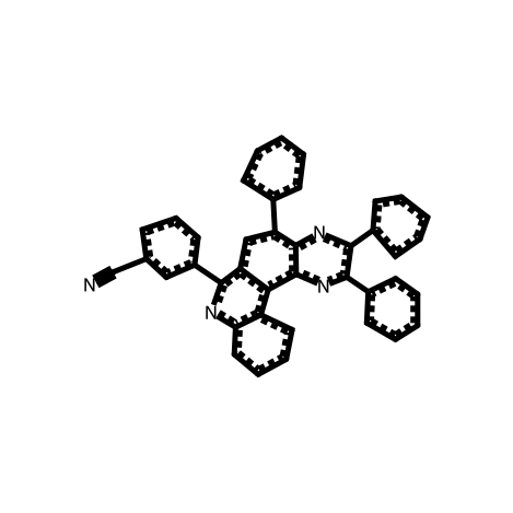 N#Cc1cccc(-c2nc3ccccc3c3c2cc(-c2ccccc2)c2nc(-c4ccccc4)c(-c4ccccc4)nc23)c1